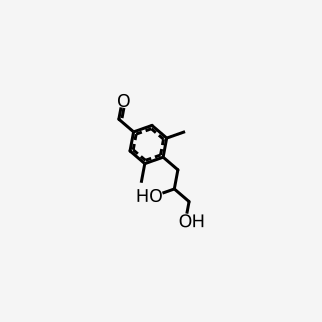 Cc1cc(C=O)cc(C)c1CC(O)CO